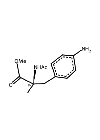 COC(=O)[C@@](C)(Cc1ccc(N)cc1)NC(C)=O